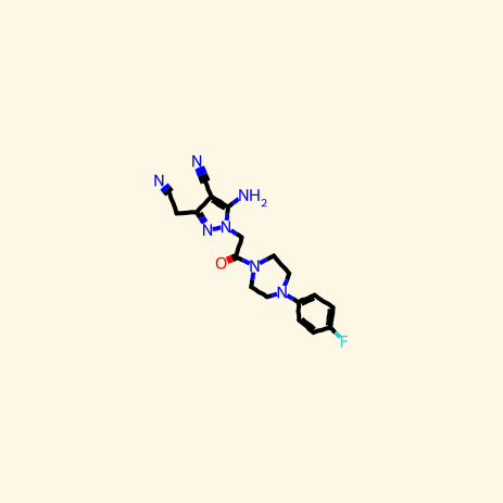 N#CCc1nn(CC(=O)N2CCN(c3ccc(F)cc3)CC2)c(N)c1C#N